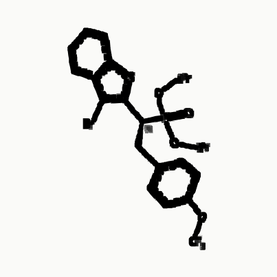 CC(C)OP(=O)(OC(C)C)[C@@H](Cc1ccc(OC(F)(F)F)cc1)c1sc2ccccc2c1Br